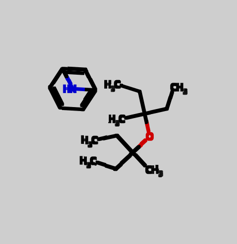 CCC(C)(CC)OC(C)(CC)CC.c1cc2cc(c1)N2